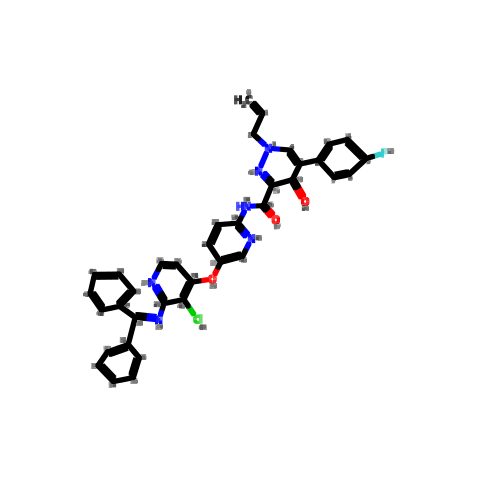 C=CCn1cc(-c2ccc(F)cc2)c(=O)c(C(=O)Nc2ccc(Oc3ccnc(N=C(c4ccccc4)c4ccccc4)c3Cl)cn2)n1